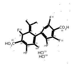 CC(C)=C1C(c2cc(F)c(C(=O)O)c(F)c2F)=C(F)C(F)=C(C(=O)O)C1F.Cl.Cl